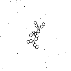 c1ccc2cc(N(c3ccc4ccccc4c3)c3ccc4cc5c6ccc(N(c7ccc8ccccc8c7)c7ccc8ccccc8c7)cc6n6c7sc8ccccc8c7c(c4c3)c56)ccc2c1